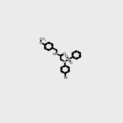 COc1ccc(CNC(=O)CN(c2ccc(Br)cc2)S(=O)(=O)c2ccccc2)cc1